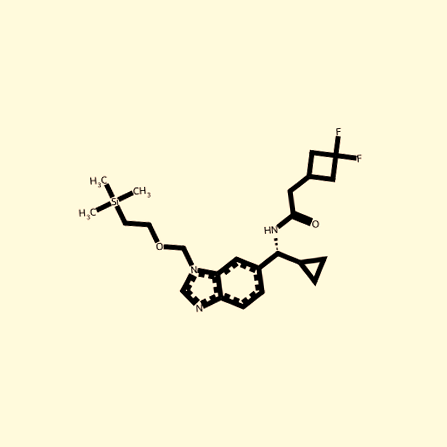 C[Si](C)(C)CCOCn1cnc2ccc([C@H](NC(=O)CC3CC(F)(F)C3)C3CC3)cc21